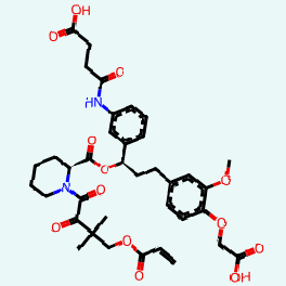 C=CC(=O)OCC(C)(C)C(=O)C(=O)N1CCCC[C@H]1C(=O)O[C@H](CCc1ccc(OCC(=O)O)c(OC)c1)c1cccc(NC(=O)CCC(=O)O)c1